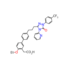 CCOc1ccc(-c2ccc(CCCc3nn(-c4ccc(C(F)(F)F)cc4)c(=O)n3-c3ccccn3)cc2)cc1CC(=O)O